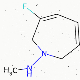 CNN1CC=CC=C(F)C1